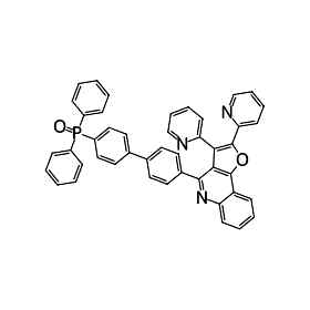 O=P(c1ccccc1)(c1ccccc1)c1ccc(-c2ccc(-c3nc4ccccc4c4oc(-c5ccccn5)c(-c5ccccn5)c34)cc2)cc1